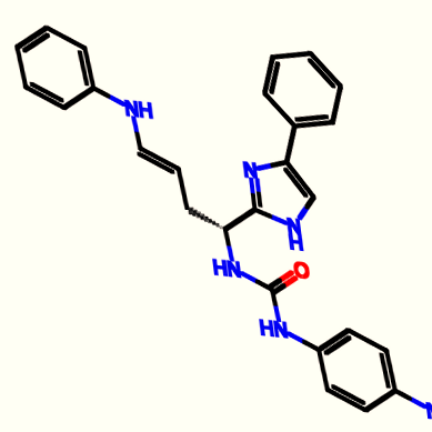 O=C(Nc1ccc([N+](=O)[O-])cc1)N[C@H](C/C=C/Nc1ccccc1)c1nc(-c2ccccc2)c[nH]1